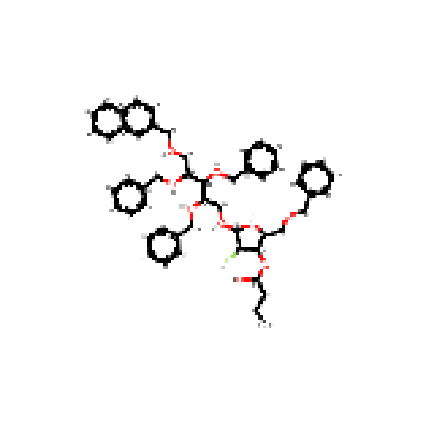 CC(=O)CCC(=O)OC1C(COCc2ccccc2)OC(OCC(OCc2ccccc2)C(OCc2ccccc2)C(COCc2ccc3ccccc3c2)OCc2ccccc2)C1F